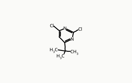 CC(C)(C)c1cc(Cl)nc(Cl)n1